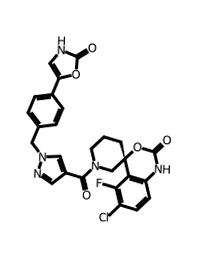 O=C1Nc2ccc(Cl)c(F)c2[C@@]2(CCCN(C(=O)c3cnn(Cc4ccc(-c5c[nH]c(=O)o5)cc4)c3)C2)O1